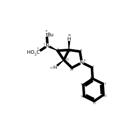 CC(C)(C)N(C(=O)O)[C@H]1[C@@H]2CN(Cc3ccccc3)C[C@@H]21